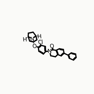 CN1[C@@H]2CC[C@H]1C[C@H](Oc1ccc(N3CCc4cc(-c5ccccc5)ccc4C3=O)cc1Cl)C2